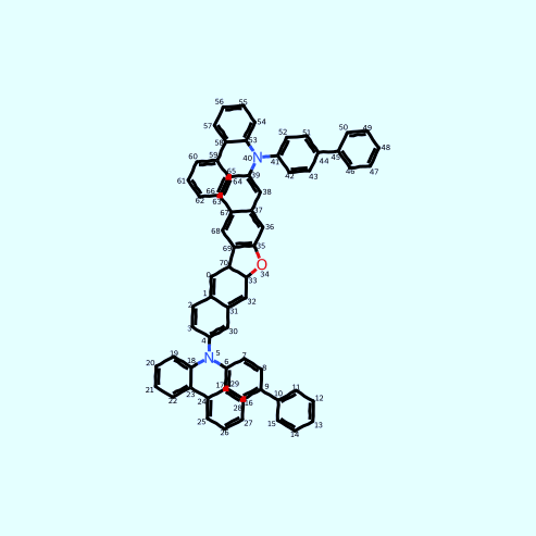 C1=c2ccc(N(c3ccc(-c4ccccc4)cc3)c3ccccc3-c3ccccc3)cc2=CC2Oc3cc4cc(N(c5ccc(-c6ccccc6)cc5)c5ccccc5-c5ccccc5)ccc4cc3C12